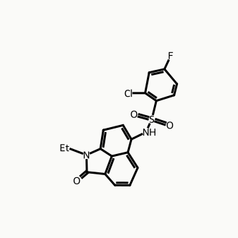 CCN1C(=O)c2cccc3c(NS(=O)(=O)c4ccc(F)cc4Cl)ccc1c23